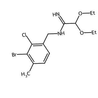 CCOC(OCC)C(=N)NCc1ccc(C)c(Br)c1Cl